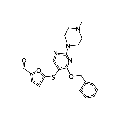 CN1CCN(c2ncc(Sc3ccc(C=O)o3)c(OCc3ccccc3)n2)CC1